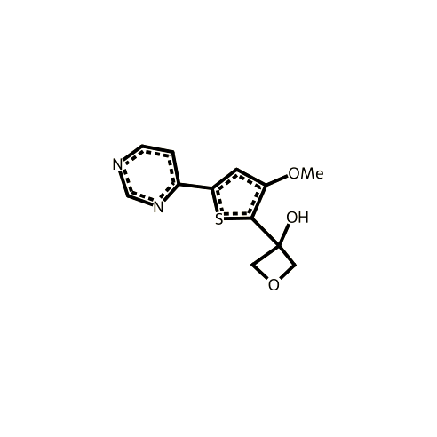 COc1cc(-c2ccncn2)sc1C1(O)COC1